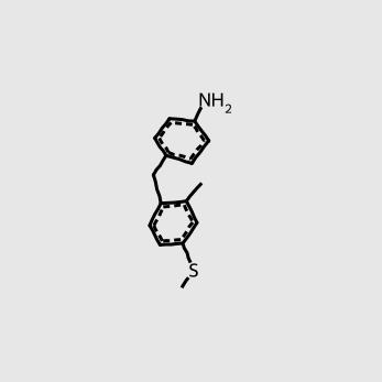 CSc1ccc(Cc2ccc(N)cc2)c(C)c1